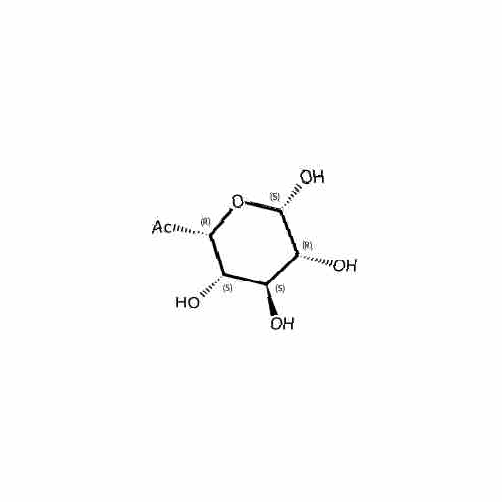 CC(=O)[C@@H]1O[C@H](O)[C@H](O)[C@@H](O)[C@@H]1O